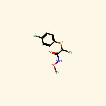 CC(Sc1ccc(Br)cc1)C(=O)NOC(C)(C)C